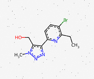 CCc1nc(-c2nnn(C)c2CO)ccc1Br